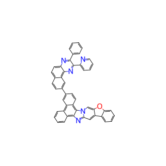 c1ccc(-c2nc3ccc4ccc(-c5ccc6c(c5)c5ccccc5c5nc7cc8c(cn7c65)oc5ccccc58)cc4c3nc2-c2ccccn2)cc1